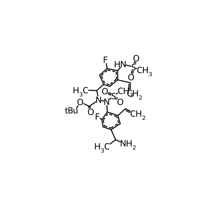 C=Cc1cc(C(C)N(C(=O)OC(C)(C)C)N(c2c(F)cc(C(C)N)cc2C=C)S(C)(=O)=O)cc(F)c1NS(C)(=O)=O